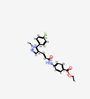 CCOC(=O)c1ccc(NC(=O)C=Cc2cnn(C)c2-c2ccc(F)cc2)cc1